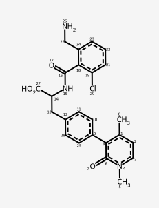 Cc1ccn(C)c(=O)c1-c1ccc(CC(NC(=O)c2c(Cl)cccc2CN)C(=O)O)cc1